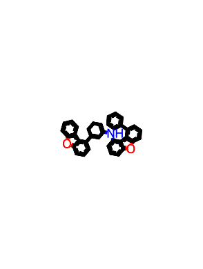 C1=C(Nc2cccc3oc4cccc(-c5ccccc5)c4c23)C=C(c2cccc3oc4ccccc4c23)CC1